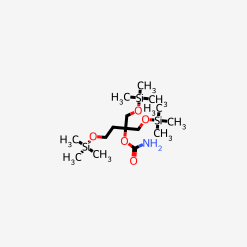 C[Si](C)(C)OCCC(CO[Si](C)(C)C)(CO[Si](C)(C)C)OC(N)=O